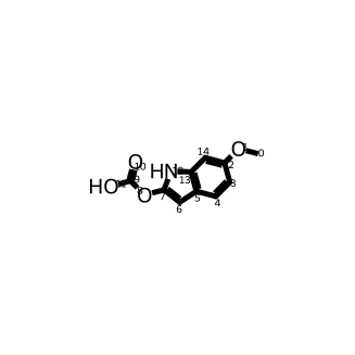 COc1ccc2cc(OC(=O)O)[nH]c2c1